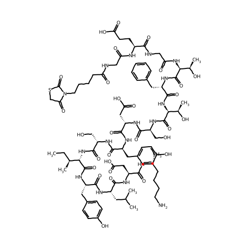 CC[C@H](C)[C@H](NC(=O)[C@H](CO)NC(=O)[C@H](Cc1ccc(O)cc1)NC(=O)[C@H](CC(=O)O)NC(=O)[C@H](CO)NC(=O)[C@@H](NC(=O)[C@H](Cc1ccccc1)NC(=O)[C@@H](NC(=O)CNC(=O)[C@H](CCC(=O)O)NC(=O)CNC(=O)CCCCN1C(=O)CSC1=O)[C@@H](C)O)[C@@H](C)O)C(=O)N[C@@H](Cc1ccc(O)cc1)C(=O)N[C@@H](CC(C)C)C(=O)N[C@@H](CC(=O)O)C(=O)N[C@H](C)CCCCN